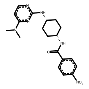 CN(C)c1ccnc(N[C@H]2CC[C@@H](NC(=O)c3ccc([N+](=O)[O-])cc3)CC2)n1